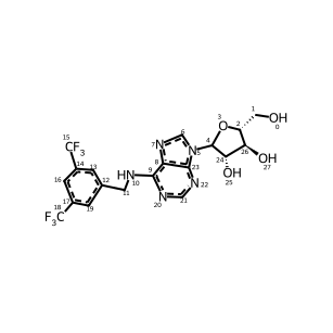 OC[C@H]1OC(n2cnc3c(NCc4cc(C(F)(F)F)cc(C(F)(F)F)c4)ncnc32)[C@@H](O)[C@@H]1O